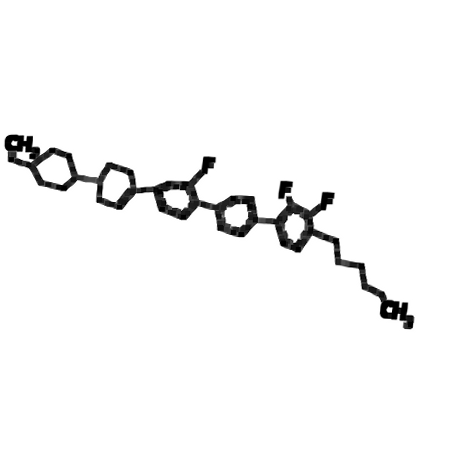 C=CC1CCC(C2CC=C(c3ccc(-c4ccc(-c5ccc(CCCCCC)c(F)c5F)cc4)c(F)c3)CC2)CC1